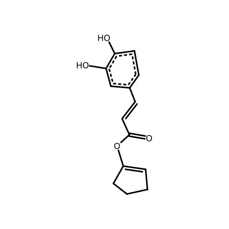 O=C(C=Cc1ccc(O)c(O)c1)OC1=CCCC1